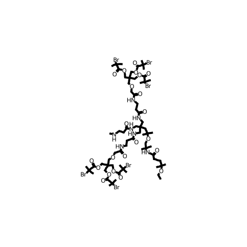 CCOC(C)(C)CCC(=O)NC(C)(C)COC(C)(C)CC(CNC(=O)CCNC)(CNC(=O)CCNC(=O)COCC(COC(=O)C(C)(C)Br)(COC(=O)C(C)(C)Br)COC(=O)C(C)(C)Br)CNC(=O)CCNC(=O)COCC(COC(=O)C(C)(C)Br)(COC(=O)C(C)(C)Br)COC(=O)C(C)(C)Br